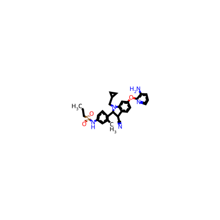 CCCS(=O)(=O)Nc1ccc(C2C(C#N)c3ccc(Oc4ncccc4N)cc3N2CC2CC2)c(C)c1